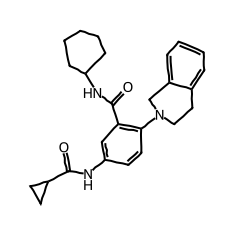 O=C(NC1CCCCC1)c1cc(NC(=O)C2CC2)ccc1N1CCc2ccccc2C1